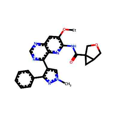 CCOc1cc2ncnc(-c3cn(C)nc3-c3ccccc3)c2nc1NC(=O)C12COCC1C2